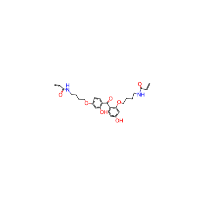 C=CC(=O)NCCCCOc1ccc(C(=O)c2ccc(O)cc2OCCCCNC(=O)C=C)c(O)c1